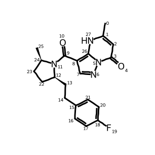 Cc1cc(=O)n2ncc(C(=O)N3[C@@H](CCc4ccc(F)cc4)CC[C@H]3C)c2[nH]1